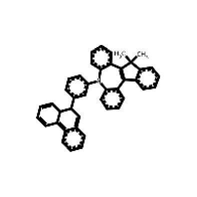 CC1(C)C2=C(c3ccccc3N(c3cccc(C4C=c5ccccc5=C5C=CC=CC54)c3)c3ccccc32)c2ccccc21